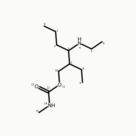 CCCC(NCC)C(CC)COC(=O)NC